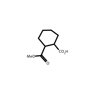 COC(=O)C1CCCCC1C(=O)O